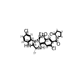 CCOC(=O)C1CCCN1C(=O)c1cc2ncnc(N[C@H](C)c3nc4cc(Cl)ccc4[nH]3)c2cc1Cl